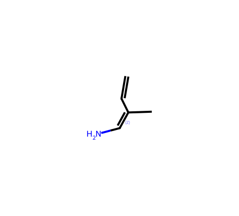 C=C/C(C)=C\N